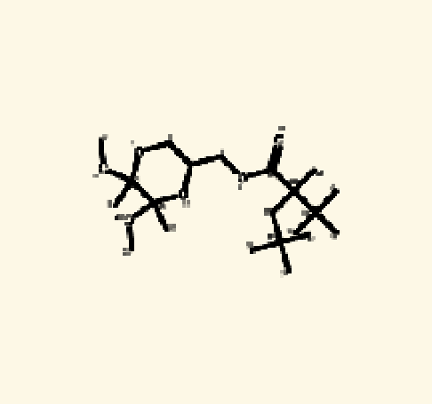 COC1(C)OCC(COC(=O)C(C)(CC(C)(C)C)C(C)(C)C)OC1(C)OC